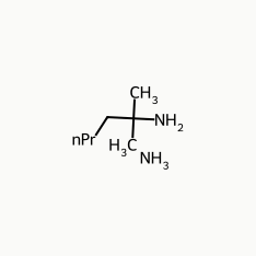 CCCCC(C)(C)N.N